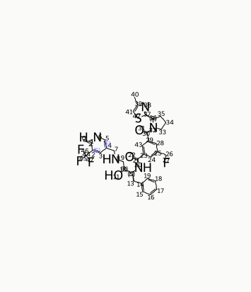 C=C/C(=C\C(=C/N)CNC[C@@H](O)[C@H](Cc1ccccc1)NC(=O)c1cc(CF)cc(C(=O)N2CCC[C@@H]2c2nc(C)cs2)c1)C(F)(F)F